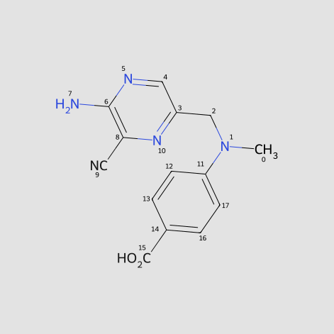 CN(Cc1cnc(N)c(C#N)n1)c1ccc(C(=O)O)cc1